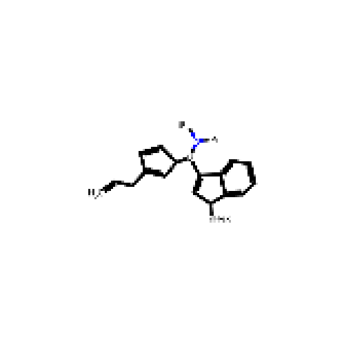 C=CCC1=CC(B(C2=CC(CCCCCC)c3ccccc32)N(C(C)C)C(C)C)C=C1